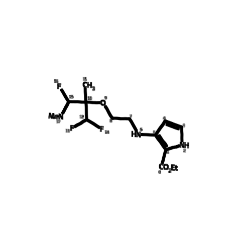 CCOC(=O)c1[nH]ccc1NCCOC(C)(C(F)F)C(F)NC